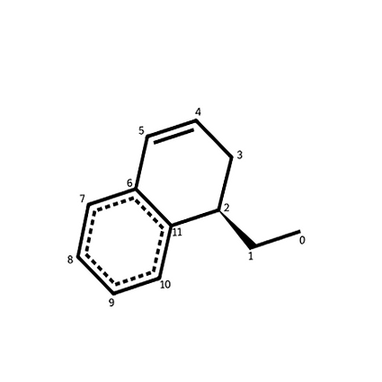 CC[C@@H]1CC=Cc2ccccc21